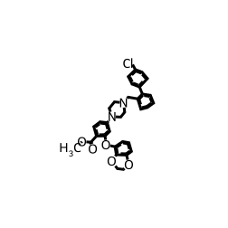 COC(=O)c1ccc(N2CCN(Cc3ccccc3-c3ccc(Cl)cc3)CC2)cc1Oc1cccc2c1OCCO2